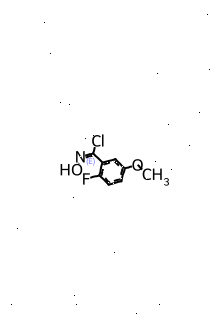 COc1ccc(F)c(/C(Cl)=N\O)c1